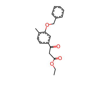 CCOC(=O)CC(=O)c1ccc(C)c(OCc2ccccc2)c1